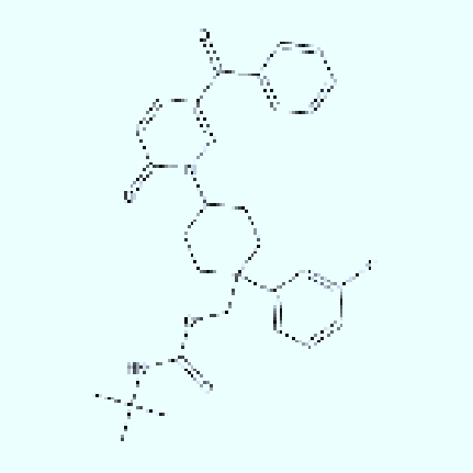 CC(C)(C)NC(=O)OCC1(c2cccc(Cl)c2)CCC(n2nc(C(=O)c3ccccc3)ccc2=O)CC1